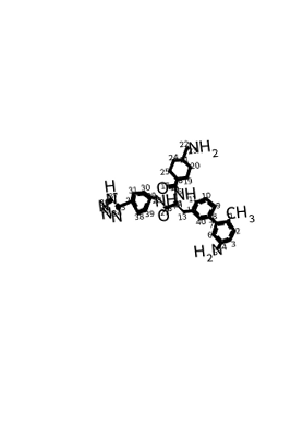 Cc1ccc(N)cc1-c1cccc(C[C@H](NC(=O)C2CCC(CN)CC2)C(=O)Nc2ccc(-c3nnn[nH]3)cc2)c1